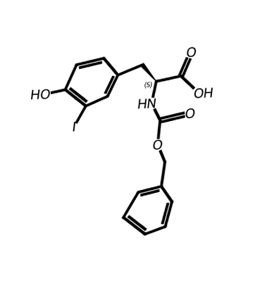 O=C(N[C@@H](Cc1ccc(O)c(I)c1)C(=O)O)OCc1ccccc1